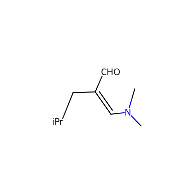 CC(C)CC(C=O)=CN(C)C